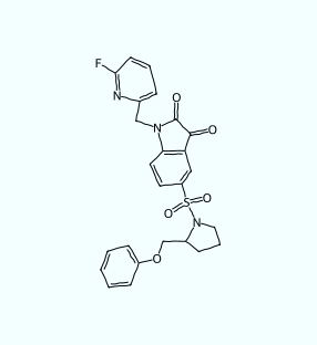 O=C1C(=O)N(Cc2cccc(F)n2)c2ccc(S(=O)(=O)N3CCCC3COc3ccccc3)cc21